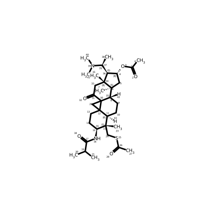 CC(=O)O[C@@H]1C[C@@]2(C)[C@@H]3CC[C@@H]4C5(CC[C@H](NC(=O)C(C)C)[C@@]4(C)CSC(C)=O)CC35C(=O)C[C@]2(C)[C@H]1[C@H](C)N(C)C